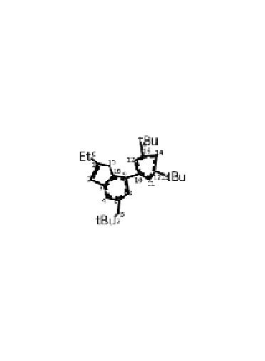 CCC1=Cc2cc(CC(C)(C)C)cc(-c3cc(C(C)(C)C)cc(C(C)(C)C)c3)c2C1